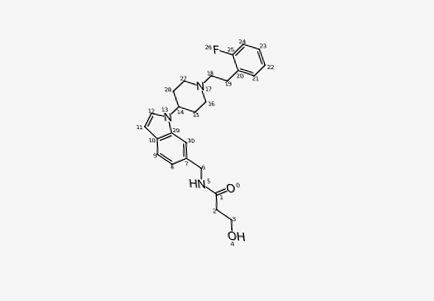 O=C(CCO)NCc1ccc2ccn(C3CCN(CCc4ccccc4F)CC3)c2c1